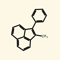 CC1=C(c2ccccc2)c2cccc3cccc1c23